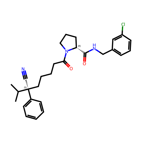 CC(C)[C@@](C#N)(CCCCC(=O)N1CCC[C@@H]1C(=O)NCc1cccc(Cl)c1)c1ccccc1